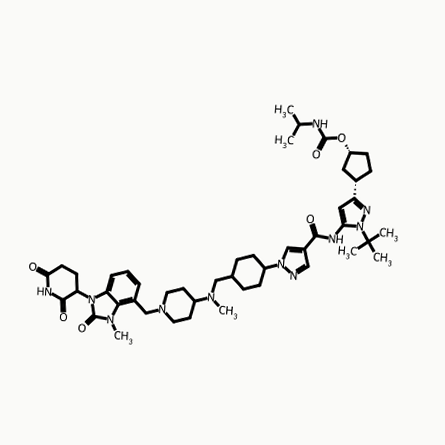 CC(C)NC(=O)O[C@@H]1CC[C@H](c2cc(NC(=O)c3cnn(C4CCC(CN(C)C5CCN(Cc6cccc7c6n(C)c(=O)n7C6CCC(=O)NC6=O)CC5)CC4)c3)n(C(C)(C)C)n2)C1